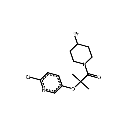 CC(C)C1CCN(C(=O)C(C)(C)Oc2ccc(Cl)nc2)CC1